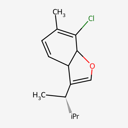 CC1=C(Cl)C2OC=C([C@@H](C)C(C)C)C2C=C1